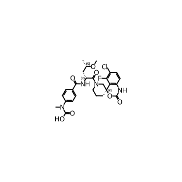 CO[C@@H](C)C[C@@H](NC(=O)c1ccc(N(C)C(=O)O)cc1)C(=O)N1CCC[C@@]2(C1)OC(=O)Nc1ccc(Cl)c(F)c12